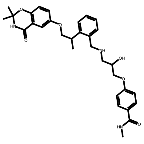 CNC(=O)c1ccc(OCC(O)CNCc2ccccc2C(C)COc2ccc3c(c2)C(=O)NC(C)(C)O3)cc1